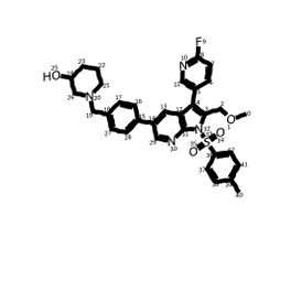 COCc1c(-c2ccc(F)nc2)c2cc(-c3ccc(CN4CCCC(O)C4)cc3)cnc2n1S(=O)(=O)c1ccc(C)cc1